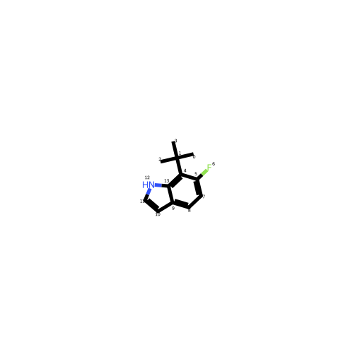 CC(C)(C)c1c(F)ccc2cc[nH]c12